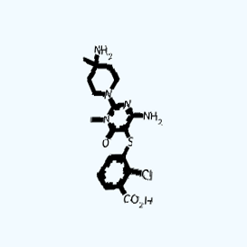 Cn1c(N2CCC(C)(N)CC2)nc(N)c(Sc2cccc(C(=O)O)c2Cl)c1=O